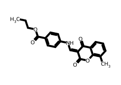 CCCOC(=O)c1ccc(NC=C2C(=O)Oc3c(C)cccc3C2=O)cc1